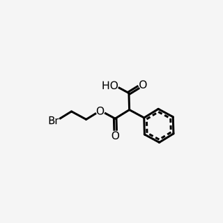 O=C(O)C(C(=O)OCCBr)c1ccccc1